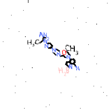 Bc1ccc2c(N3CC(C)OC(CN4CCN(c5ccc(N6CC(N)C6CC)nc5)CC4)C3)ccc(C#N)c2n1